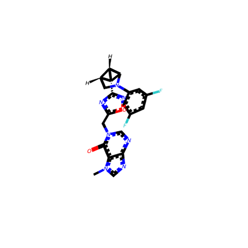 Cn1cnc2ncn(Cc3nc([C@@]45C6[C@H]4[C@H]5CN6c4cc(F)cc(F)c4)no3)c(=O)c21